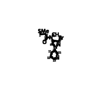 CSCCC(=O)N(C)c1cn(-c2cccnc2)nc1Br